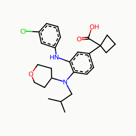 CC(C)CN(c1ccc(C2(C(=O)O)CCC2)cc1Nc1cccc(Cl)c1)C1CCOCC1